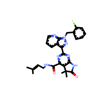 CC(C)=CCNC(=O)c1nc(-c2nn(Cc3ccccc3F)c3ncccc23)nc2c1C(C)(C)C(=O)N2